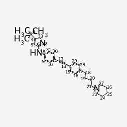 CC(C)(C)C1=CC(Nc2ccc(C#Cc3ccc(CCCCN4CCCCC4)cc3)cc2)=NC1